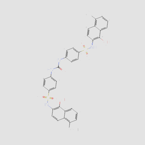 O=C(Nc1ccc(S(=O)(=O)Nc2ccc3c(S(=O)(=O)O)cccc3c2O)cc1)Nc1ccc(S(=O)(=O)Nc2ccc3c(S(=O)(=O)O)cccc3c2O)cc1